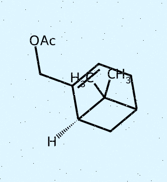 CC(=O)OCC1=CCC2C[C@@H]1C2(C)C